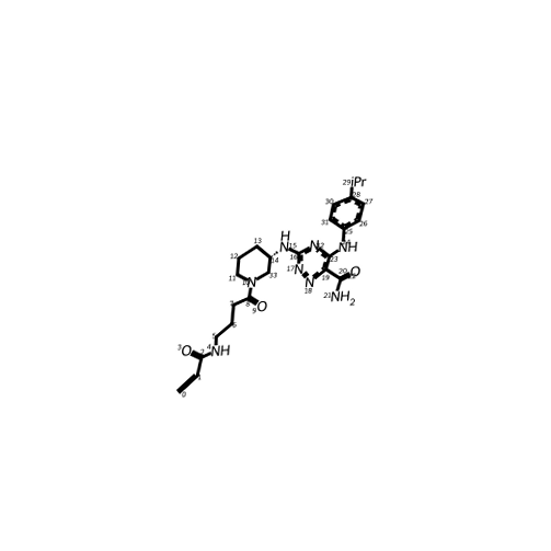 C=CC(=O)NCCCC(=O)N1CCC[C@H](Nc2nnc(C(N)=O)c(Nc3ccc(C(C)C)cc3)n2)C1